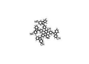 N#Cc1ccc2c(c1)c1ccccc1n2-c1ccc(-c2c(C#N)c(-c3ccc(-n4c5ccccc5c5cc(C#N)ccc54)cc3)c(-c3ccc(-n4c5ccccc5c5cc(C#N)ccc54)cc3)c(-c3ccc(-n4c5ccccc5c5cc(C#N)ccc54)cc3)c2-c2ccncc2)cc1